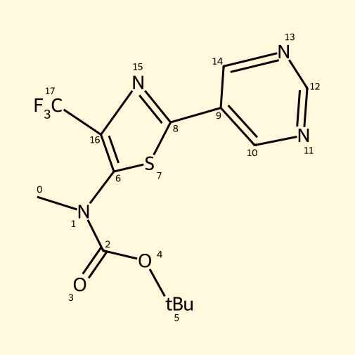 CN(C(=O)OC(C)(C)C)c1sc(-c2cncnc2)nc1C(F)(F)F